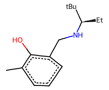 CC[C@@H](NCc1cccc(C)c1O)C(C)(C)C